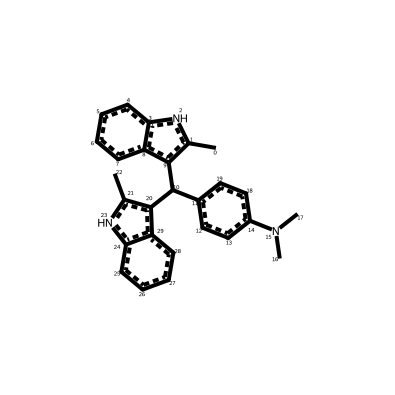 Cc1[nH]c2ccccc2c1C(c1ccc(N(C)C)cc1)c1c(C)[nH]c2ccccc12